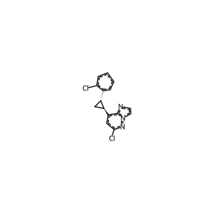 Clc1cc([C@H]2C[C@@H]2c2ccccc2Cl)c2nccn2n1